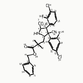 CC(C)(CC1NC(C(=O)O)C(c2cccc(Cl)c2F)C1(C#N)c1ccc(Cl)cc1F)C(=O)OCc1ccccc1